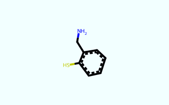 NCc1ccccc1S